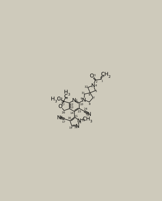 C=CC(=O)N1CC2(CCN(c3nc4c(c(-c5c(C#N)cnn5C)c3C#N)COC4(C)C)C2)C1